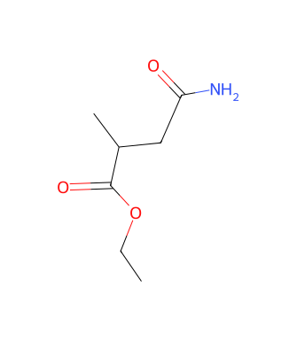 CCOC(=O)C(C)CC(N)=O